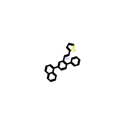 C(=C\c1cc(-c2cccc3ccccc23)ccc1-c1ccccc1)/c1cccs1